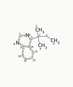 CCC(C)(C)c1ncnc2ccccc12